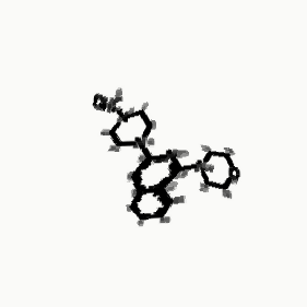 O=CN1CCN(c2cc3ccccc3c(N3CCOCC3)n2)CC1